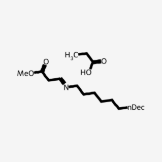 CCC(=O)O.CCCCCCCCCCCCCCCCN=CCC(=O)OC